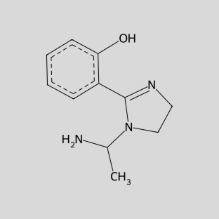 CC(N)N1CCN=C1c1ccccc1O